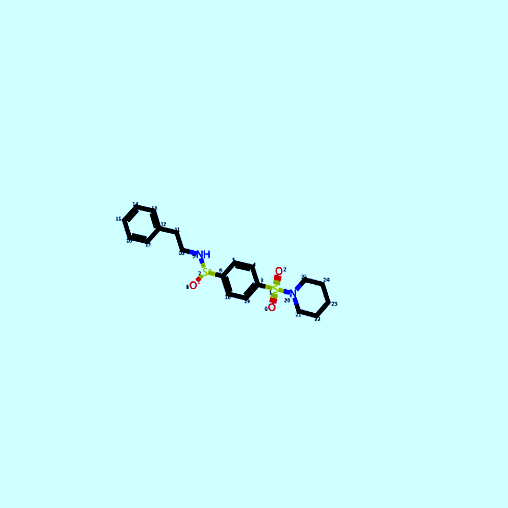 O=S(=O)(c1ccc([S+]([O-])NCCc2ccccc2)cc1)N1CCCCC1